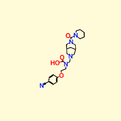 N#Cc1ccc(OCCN(CN2CC3CC(C2)CN(C(=O)N2CCCCC2)C3)C(=O)O)cc1